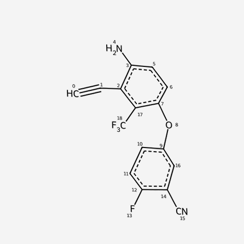 C#Cc1c(N)ccc(Oc2ccc(F)c(C#N)c2)c1C(F)(F)F